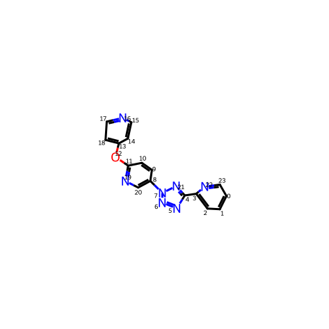 c1ccc(-c2nnn(-c3ccc(Oc4ccncc4)nc3)n2)nc1